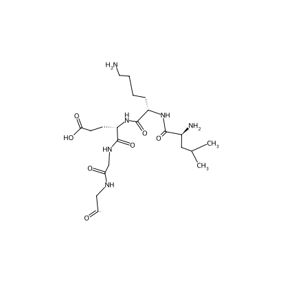 CC(C)C[C@H](N)C(=O)N[C@@H](CCCCN)C(=O)N[C@@H](CCC(=O)O)C(=O)NCC(=O)NC[C]=O